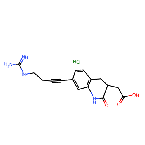 Cl.N=C(N)NCCC#Cc1ccc2c(c1)NC(=O)C(CC(=O)O)C2